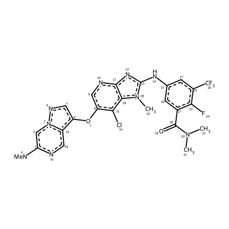 CNc1cn2ncc(Oc3cnc4nc(Nc5cc(C(=O)N(C)C)c(F)c(C(F)(F)F)c5)n(C)c4c3Cl)c2cn1